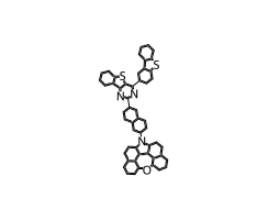 c1cc2ccc3c4c2c(c1)oc1cccc2ccc(c4c21)n3-c1ccc2cc(-c3nc(-c4ccc5sc6ccccc6c5c4)c4sc5ccccc5c4n3)ccc2c1